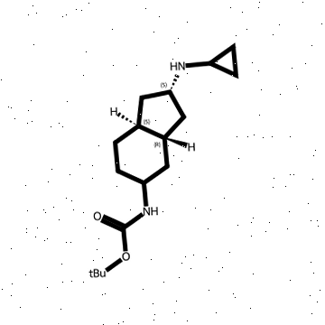 CC(C)(C)OC(=O)NC1CC[C@H]2C[C@H](NC3CC3)C[C@@H]2C1